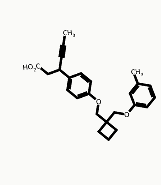 CC#CC(CC(=O)O)c1ccc(OCC2(COc3cccc(C)c3)CCC2)cc1